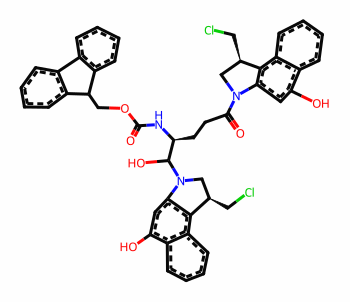 O=C(N[C@@H](CCC(=O)N1C[C@@H](CCl)c2c1cc(O)c1ccccc21)C(O)N1C[C@@H](CCl)c2c1cc(O)c1ccccc21)OCC1c2ccccc2-c2ccccc21